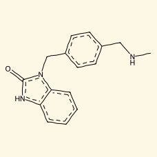 CNCc1ccc(Cn2c(=O)[nH]c3ccccc32)cc1